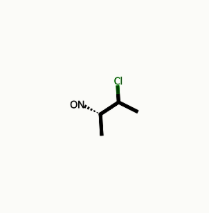 CC(Cl)[C@H](C)N=O